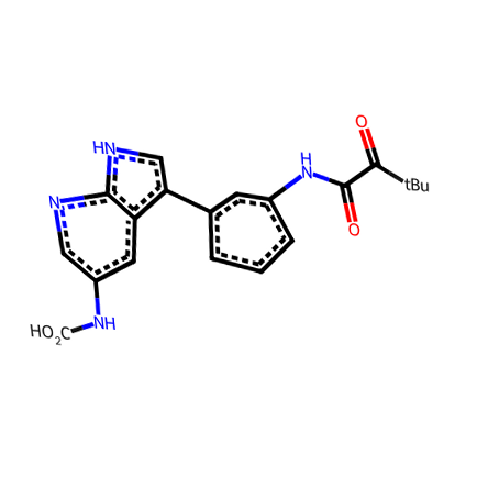 CC(C)(C)C(=O)C(=O)Nc1cccc(-c2c[nH]c3ncc(NC(=O)O)cc23)c1